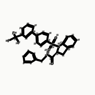 O=C(NCc1ccccc1)[C@@H]1Cc2ccccc2N1S(=O)(=O)c1ccc(-c2cccc(C(F)(F)F)c2)cc1